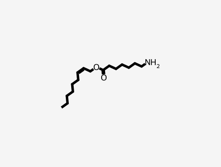 CCCCCC/C=C\COC(=O)CCCCCCN